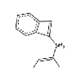 CC=C(C)[SiH2]C1=Cc2ccccc21